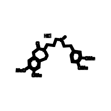 COc1ccc(CCN(C)CCCN2CCc3cc(OC)c(OC)cc3CC2=O)cc1OC.Cl